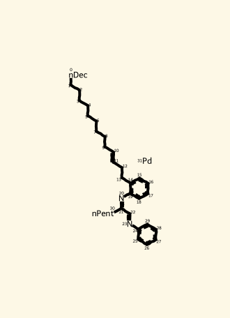 CCCCCCCCCCCCCCCCCCCC=CCCc1ccccc1N=C(C=Nc1ccccc1)CCCCC.[Pd]